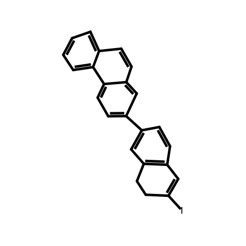 IC1=Cc2ccc(-c3ccc4c(ccc5ccccc54)c3)cc2CC1